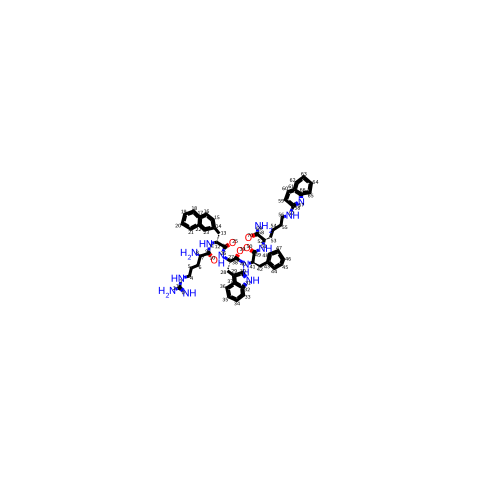 N=C(N)NCCC[C@@H](N)C(=O)N[C@H](Cc1ccc2ccccc2c1)C(=O)N[C@@H](Cc1c[nH]c2ccccc12)C(=O)N[C@H](Cc1ccccc1)C(=O)N[C@@H](CCCCNc1ccc2ccccc2n1)C(N)=O